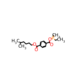 CCP(C)OC(=O)c1ccc(C(=O)OCCCCC(C)C)cc1